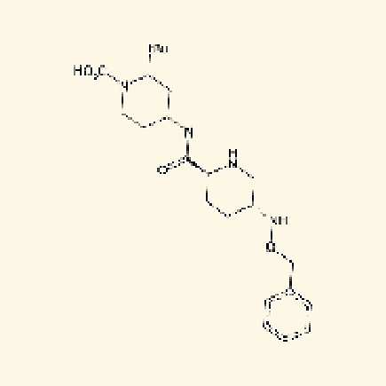 CC(C)(C)C1CC(NC(=O)[C@@H]2CC[C@@H](NOCc3ccccc3)CN2)CCN1C(=O)O